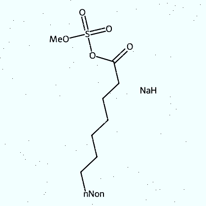 CCCCCCCCCCCCCCCC(=O)OS(=O)(=O)OC.[NaH]